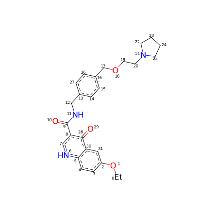 CCOc1ccc2[nH]cc(C(=O)NCc3ccc(COCCN4CCCC4)cc3)c(=O)c2c1